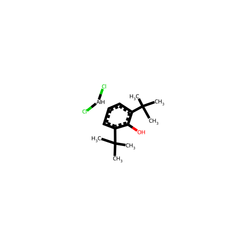 CC(C)(C)c1cccc(C(C)(C)C)c1O.[Cl][AlH][Cl]